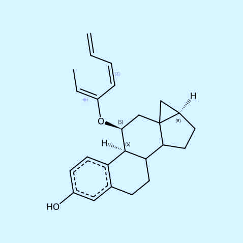 C=C/C=C\C(=C/C)O[C@H]1CC23C[C@H]2CCC3C2CCc3cc(O)ccc3[C@H]21